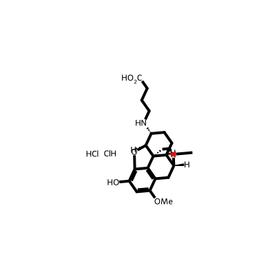 COc1cc(O)c2c3c1C[C@@H]1[C@@H]4CC[C@@H](NCCCC(=O)O)[C@H](O2)[C@]34CCN1C.Cl.Cl